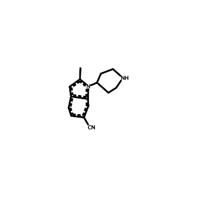 Cc1cc2ccc(C#N)cc2n1C1CCNCC1